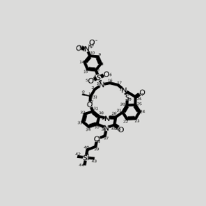 C[C@H]1CN(S(=O)(=O)c2ccc([N+](=O)[O-])cc2)CCn2sc3c(cccc3c2=O)-c2nc3c(cccc3n(COCC[Si](C)(C)C)c2=O)O1